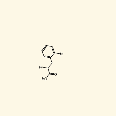 O=C(O)C(Br)Cc1ccccc1Br